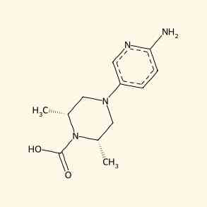 C[C@@H]1CN(c2ccc(N)nc2)C[C@H](C)N1C(=O)O